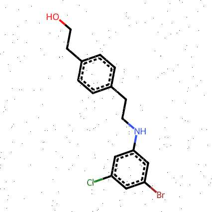 OCCc1ccc(CCNc2cc(Cl)cc(Br)c2)cc1